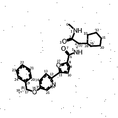 CNC(=O)[C@@H](NC(=O)c1ccc(-c2ccc(O[C@H](C)c3ccccc3)cn2)o1)C1CCCCC1